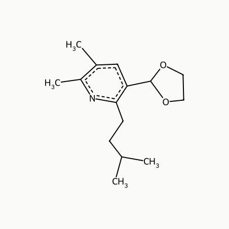 Cc1cc(C2OCCO2)c(CCC(C)C)nc1C